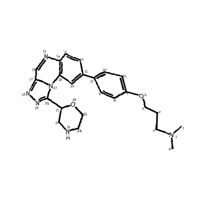 CN(C)CCCOc1ccc(-c2ccc3ncc4nnc(C5CNCCO5)n4c3c2)cc1